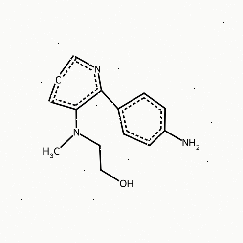 CN(CCO)c1cccnc1-c1ccc(N)cc1